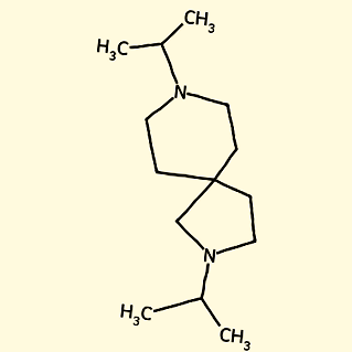 CC(C)N1CCC2(CC1)CCN(C(C)C)C2